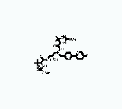 COC(=O)NC(C(=O)NC[C@@H](O)CN(Cc1ccc(-c2ccc(F)cn2)cc1)NC(=O)[C@@H](NC(=O)OC)C(C)(C)C(F)(F)F)C(C)(C)C(F)(F)F